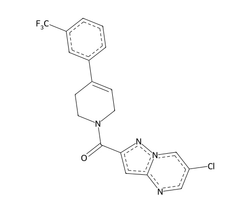 O=C(c1cc2ncc(Cl)cn2n1)N1CC=C(c2cccc(C(F)(F)F)c2)CC1